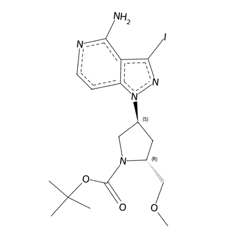 COC[C@H]1C[C@H](n2nc(I)c3c(N)nccc32)CN1C(=O)OC(C)(C)C